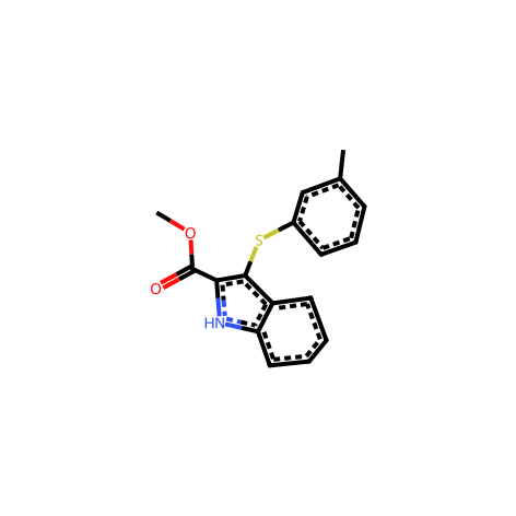 COC(=O)c1[nH]c2ccccc2c1Sc1cccc(C)c1